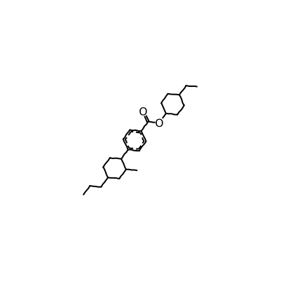 CCCC1CCC(c2ccc(C(=O)OC3CCC(CC)CC3)cc2)C(C)C1